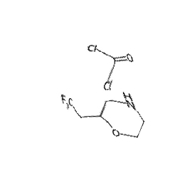 FC(F)(F)CC1CNCCO1.O=C(Cl)Cl